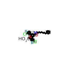 CN(CCCCCCCCc1ccccc1)C(=O)c1cc(-c2ccc(F)c(Cl)c2)c(OCC(=O)O)c(-c2ccc(F)c(Cl)c2)c1